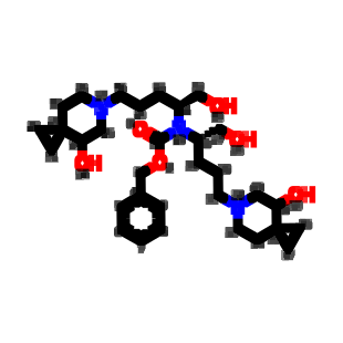 O=C(OCc1ccccc1)N([C@H](CO)CCCN1CCC2(CC2)C(O)C1)[C@H](CO)CCCN1CCC2(CC2)C(O)C1